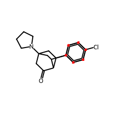 O=C1CC2(N3CCCC3)CC(c3ccccc3)C1C(c1ccc(Cl)cc1)C2